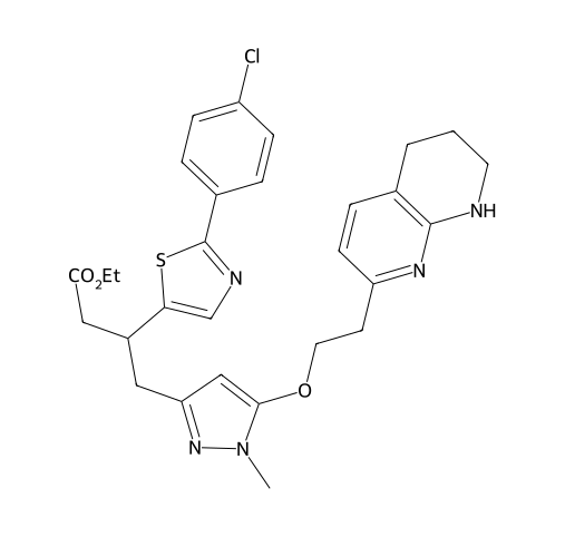 CCOC(=O)CC(Cc1cc(OCCc2ccc3c(n2)NCCC3)n(C)n1)c1cnc(-c2ccc(Cl)cc2)s1